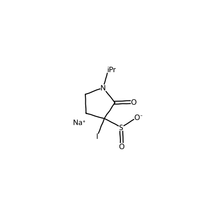 CC(C)N1CCC(I)(S(=O)[O-])C1=O.[Na+]